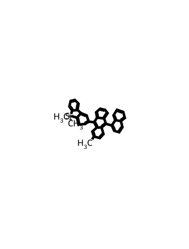 Cc1ccc2c(-c3cccc4ccccc34)c3ccccc3c(-c3ccc4c(c3)-c3ccccc3[Si]4(C)C)c2c1